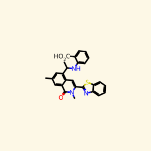 Cc1cc(C(C)Nc2ccccc2C(=O)O)c2cc(-c3nc4ccccc4s3)n(C)c(=O)c2c1